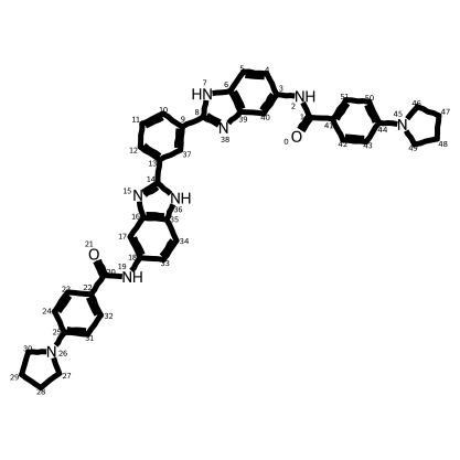 O=C(Nc1ccc2[nH]c(-c3cccc(-c4nc5cc(NC(=O)c6ccc(N7CCCC7)cc6)ccc5[nH]4)c3)nc2c1)c1ccc(N2CCCC2)cc1